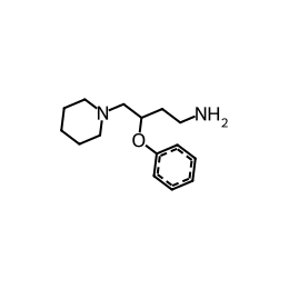 NCCC(CN1CCCCC1)Oc1ccccc1